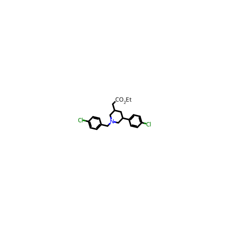 CCOC(=O)CC1CC(c2ccc(Cl)cc2)CN(Cc2ccc(Cl)cc2)C1